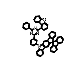 c1ccc(-c2nc(-c3cccc(-n4c5ccccc5c5cc6c(cc54)-c4ccccc4C64c5ccccc5-c5ccccc54)c3)nc(-c3cccc4oc5ccccc5c34)n2)cc1